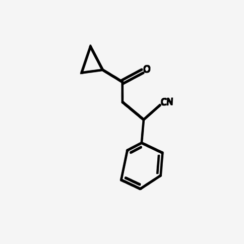 N#CC(CC(=O)C1CC1)c1ccccc1